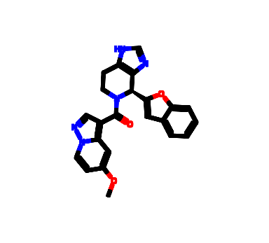 COc1ccn2ncc(C(=O)N3CCc4[nH]cnc4[C@H]3c3cc4ccccc4o3)c2c1